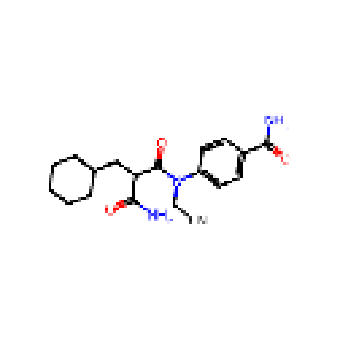 N#CCN(C(=O)C(CC1CCCCC1)C(N)=O)c1ccc(C(N)=O)cc1